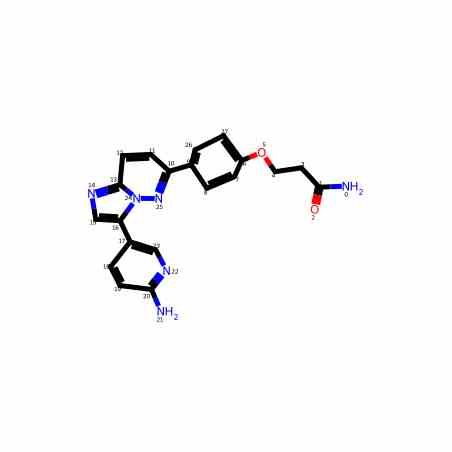 NC(=O)CCOc1ccc(-c2ccc3ncc(-c4ccc(N)nc4)n3n2)cc1